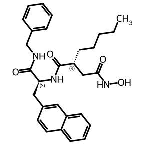 CCCCC[C@H](CC(=O)NO)C(=O)N[C@@H](Cc1ccc2ccccc2c1)C(=O)NCc1ccccc1